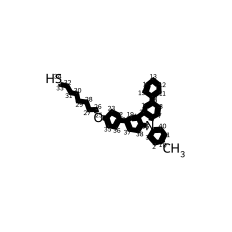 Cc1ccc(-n2c3ccc(-c4ccccc4)cc3c3cc(-c4ccc(OCCCCCCCCS)cc4)ccc32)cc1